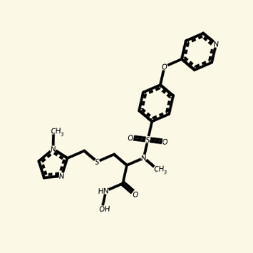 CN(C(CSCc1nccn1C)C(=O)NO)S(=O)(=O)c1ccc(Oc2ccncc2)cc1